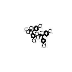 Clc1ccc(C(c2ccc(Cl)cc2)C(Cl)(Cl)Cl)cc1.Clc1ccc(C(c2ccc(Cl)cc2)C(Cl)(Cl)Cl)cc1